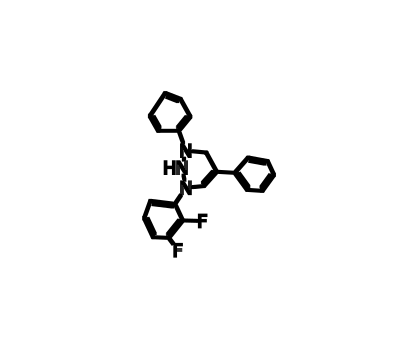 Fc1cccc(N2C=C(c3ccccc3)CN(c3ccccc3)N2)c1F